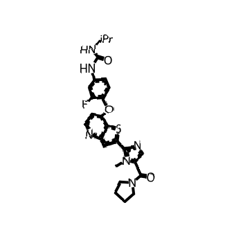 CC(C)NC(=O)Nc1ccc(Oc2ccnc3cc(-c4ncc(C(=O)N5CCCC5)n4C)sc23)c(F)c1